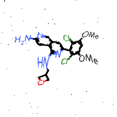 COc1cc(OC)c(Cl)c(-c2cc3cnc(N)cc3c(NCC3COC3)n2)c1Cl